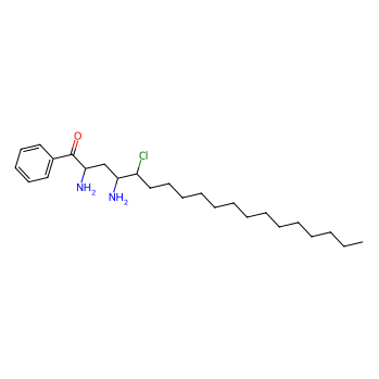 CCCCCCCCCCCCCCC(Cl)C(N)CC(N)C(=O)c1ccccc1